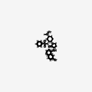 CC(C)N(C)[C@@H]1CC[C@H](N2CC[C@H](Nc3ncnc4ccc(Br)cc34)C2=O)[C@H](CS(=O)(=O)c2ccccc2)C1